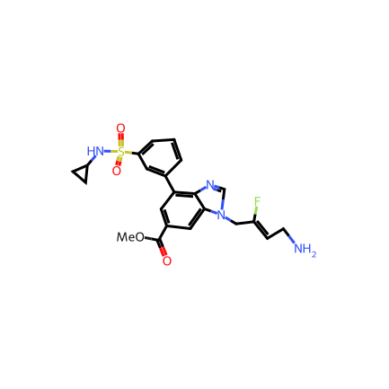 COC(=O)c1cc(-c2cccc(S(=O)(=O)NC3CC3)c2)c2ncn(C/C(F)=C/CN)c2c1